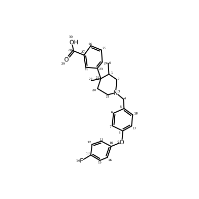 CC1CN(Cc2ccc(Oc3ccc(F)cc3)cc2)CCC1(C)c1cccc(C(=O)O)c1